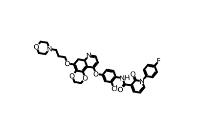 O=C(Nc1ccc(OC2=CC=NC3CC(OCCCN4CCOCC4)=C4OCCOC4=C23)cc1Cl)c1cccn(-c2ccc(F)cc2)c1=O